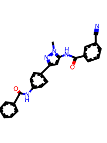 Cn1nc(-c2ccc(NC(=O)c3ccccc3)cc2)cc1NC(=O)c1cccc(C#N)c1